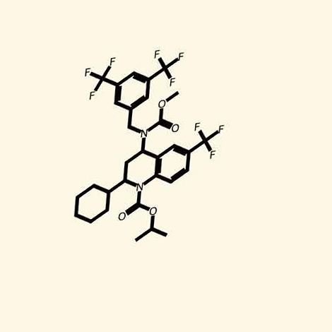 COC(=O)N(Cc1cc(C(F)(F)F)cc(C(F)(F)F)c1)C1CC(C2CCCCC2)N(C(=O)OC(C)C)c2ccc(C(F)(F)F)cc21